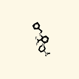 CN(C)[C@H]1CCCN(c2cccc(SCc3ccccc3)c2C(F)F)C1